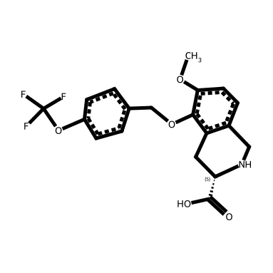 COc1ccc2c(c1OCc1ccc(OC(F)(F)F)cc1)C[C@@H](C(=O)O)NC2